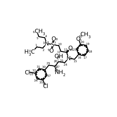 CCCN(CCC)S(=O)(=O)CCC(=O)N(Cc1cccc(OC)c1)C[C@@H](O)[C@@H](N)Cc1cc(Cl)cc(Cl)c1